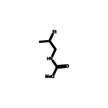 [CH2]CC(C)CNC(=O)OC